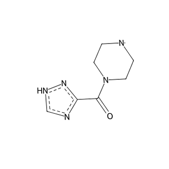 O=C(c1nc[nH]n1)N1CC[N]CC1